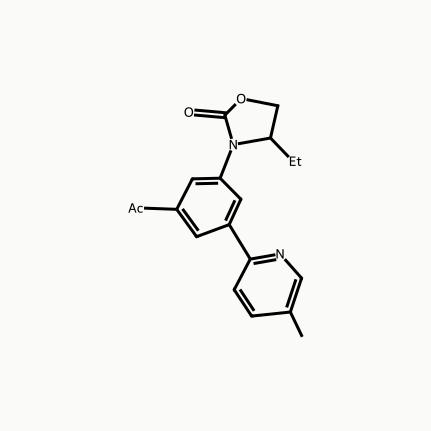 CCC1COC(=O)N1c1cc(C(C)=O)cc(-c2ccc(C)cn2)c1